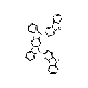 c1ccc2c(c1)oc1ccc(-n3c4ccccc4c4cc5c6ccccc6n(-c6ccc7oc8ccccc8c7c6)c5cc43)cc12